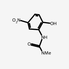 CNC(=O)Nc1cc([N+](=O)[O-])ccc1O